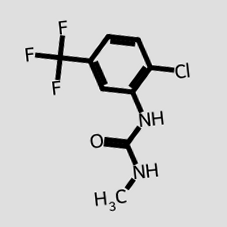 CNC(=O)Nc1cc(C(F)(F)F)ccc1Cl